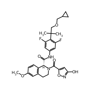 COc1ccc2c(c1)CCN(C(=O)c1cc(O)no1)[C@H]2C(=O)Nc1cc(F)c(C(C)(C)COCC2CC2)c(F)c1